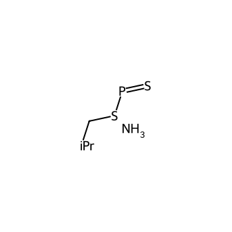 CC(C)CSP=S.N